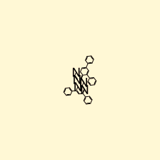 c1ccc(-c2cc3c4c(ncnc4c2)N(c2nc(-c4ccccc4)cc(-c4ccccc4)n2)c2ccccc2-3)cc1